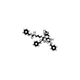 O=C(NCCCC[C@H](NC(=O)[C@H](Cc1c[nH]cn1)NC(=O)OCc1ccccc1)C(=O)OCc1ccccc1)OCc1ccccc1